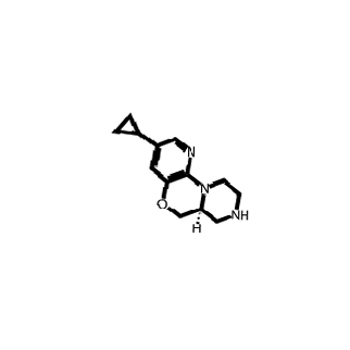 c1nc2c(cc1C1CC1)OC[C@@H]1CNCCN21